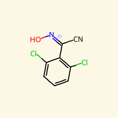 N#C/C(=N/O)c1c(Cl)cccc1Cl